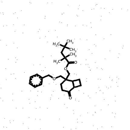 CC(C)(C)CC(C)(C)C(=O)OCC1(COCc2ccccc2)CCC(=O)C2CCC21